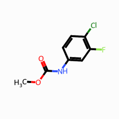 COC(=O)Nc1ccc(Cl)c(F)c1